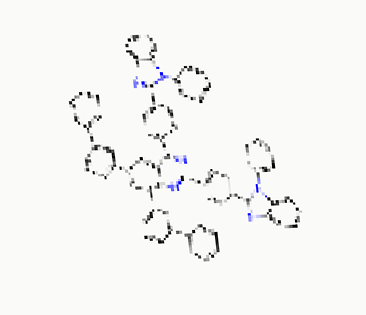 c1ccc(-c2cccc(-c3cc(-c4cccc(-c5ccccc5)c4)c4nc(-c5ccc(-c6nc7ccccc7n6-c6ccccc6)cc5)nc(-c5ccc(-c6nc7ccccc7n6-c6ccccc6)cc5)c4c3)c2)cc1